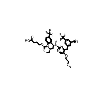 CC[C@@H]1C[C@H](Nc2ncc(OCCOC)c(Cc3cc(C#N)cc(C(F)(F)F)c3)n2)c2cc(C(F)(F)F)ccc2N1C(=O)OCCCC(=O)O